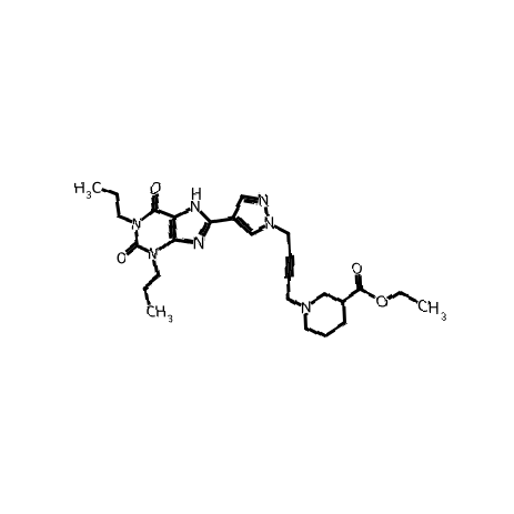 CCCn1c(=O)c2[nH]c(-c3cnn(CC#CCN4CCCC(C(=O)OCC)C4)c3)nc2n(CCC)c1=O